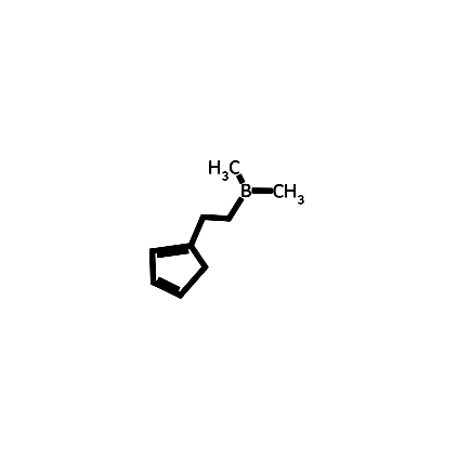 CB(C)CCC1=CC=CC1